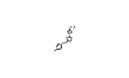 O=C(O)C12CC(c3noc(COc4ccc(Cl)cc4)n3)(C1)C2